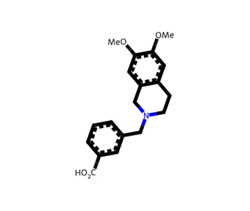 COc1cc2c(cc1OC)CN(Cc1cccc(C(=O)O)c1)CC2